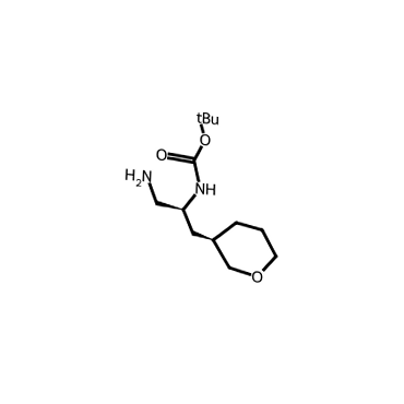 CC(C)(C)OC(=O)N[C@H](CN)C[C@H]1CCCOC1